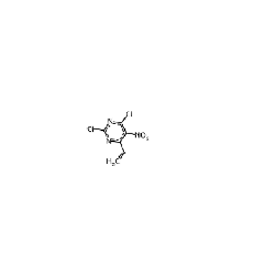 C=Cc1nc(Cl)nc(Cl)c1[N+](=O)[O-]